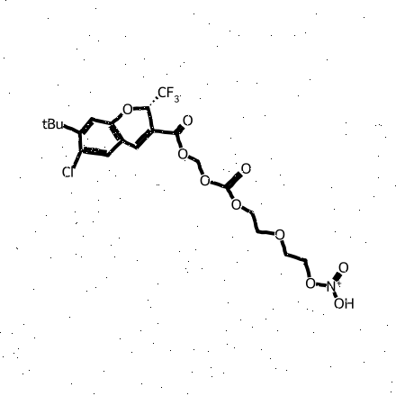 CC(C)(C)c1cc2c(cc1Cl)C=C(C(=O)OCOC(=O)OCCOCCO[N+](=O)O)[C@@H](C(F)(F)F)O2